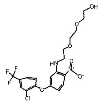 O=[N+]([O-])c1ccc(Oc2ccc(C(F)(F)F)cc2Cl)cc1NCCOCCOCCO